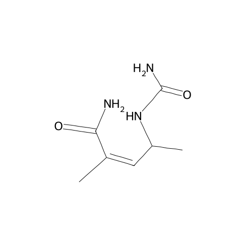 CC(=CC(C)NC(N)=O)C(N)=O